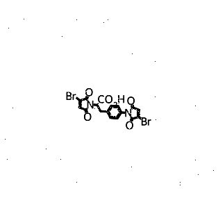 O=C(O)[C@H](Cc1ccc(N2C(=O)C=C(Br)C2=O)cc1)N1C(=O)C=C(Br)C1=O